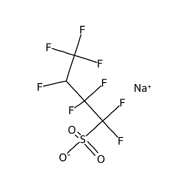 O=S(=O)([O-])C(F)(F)C(F)(F)C(F)C(F)(F)F.[Na+]